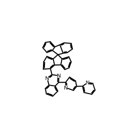 c1ccc(-c2ccc(-c3nc(-c4cccc5c4-c4ccccc4C54c5ccccc5-c5ccccc54)nc4ccccc34)nc2)nc1